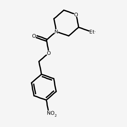 C[CH]C1CN(C(=O)OCc2ccc([N+](=O)[O-])cc2)CCO1